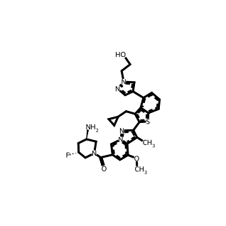 COc1cc(C(=O)N2C[C@H](N)C[C@@H](F)C2)cn2nc(-c3sc4cccc(-c5cnn(CCO)c5)c4c3CC3CC3)c(C)c12